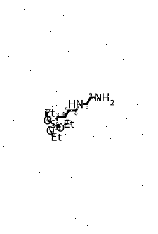 CCO[Si](CCCCNCCN)(OCC)OCC